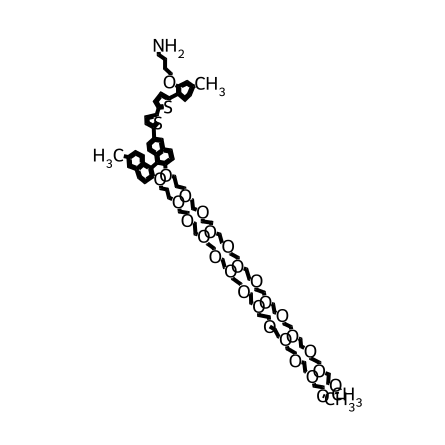 COCCOCCOCCOCCOCCOCCOCCOCCOCCOCCOCCOCCCOc1ccc2cc(C)ccc2c1-c1c(OCCCOCCOCCOCCOCCOCCOCCOCCOCCOCCOCCOCCOC)ccc2cc(-c3ccc(-c4ccc(-c5ccc(C)cc5OCCCCN)s4)s3)ccc12